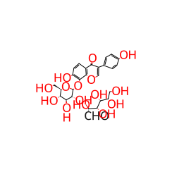 O=C[C@H](O)[C@@H](O)[C@H](O)[C@H](O)CO.O=c1c(-c2ccc(O)cc2)coc2c(O[C@@H]3O[C@H](CO)[C@@H](O)[C@H](O)[C@H]3O)c(O)ccc12